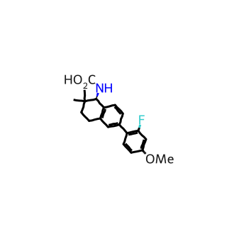 COc1ccc(-c2ccc3c(c2)CCC(C)(C)[C@H]3NC(=O)O)c(F)c1